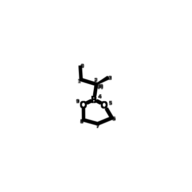 CC[C@@H](C)B1OCCCO1